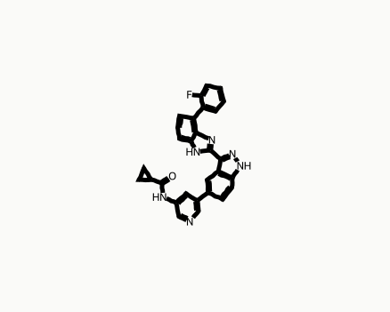 O=C(Nc1cncc(-c2ccc3[nH]nc(-c4nc5c(-c6ccccc6F)cccc5[nH]4)c3c2)c1)C1CC1